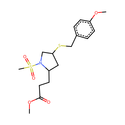 COC(=O)CCC1CC(SCc2ccc(OC)cc2)CN1S(C)(=O)=O